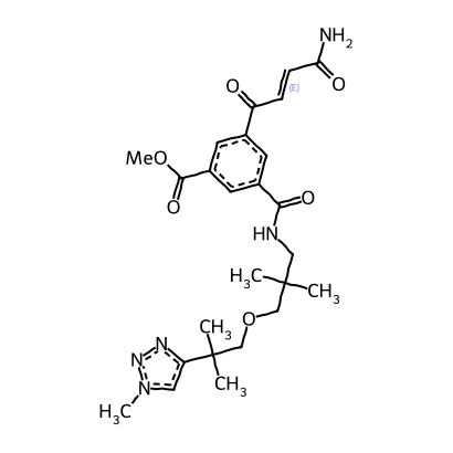 COC(=O)c1cc(C(=O)/C=C/C(N)=O)cc(C(=O)NCC(C)(C)COCC(C)(C)c2cn(C)nn2)c1